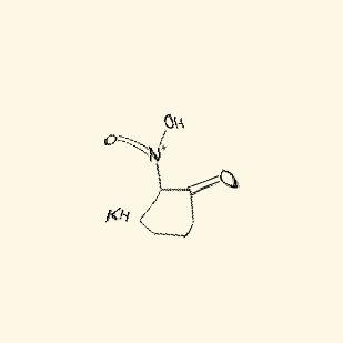 O=C1CCC1[N+](=O)O.[KH]